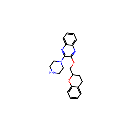 c1ccc2c(c1)CCC(COc1nc3ccccc3nc1N1CCNCC1)O2